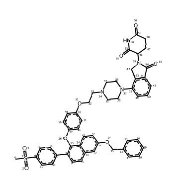 CS(=O)(=O)c1ccc(-c2ccc3cc(OCc4ccccc4)ccc3c2Oc2ccc(OCCN3CCN(c4cccc5c4CN(C4CCC(=O)NC4=O)C5=O)CC3)cc2)cc1